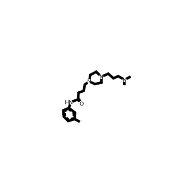 [CH2]c1cccc(NC(=O)CCCN2CCN(CCCN(C)C)CC2)c1